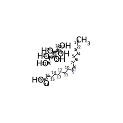 CCCCCCCC/C=C\CCCCCCCC(=O)O.OC[C@@H](O)[C@@H](O)[C@H](O)[C@H](O)CO